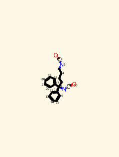 O=C=NCCCCC(N=C=O)(c1ccccc1)c1ccccc1